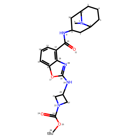 CN1C2CCCC1CC(NC(=O)c1cccc3oc(NC4CN(C(=O)OC(C)(C)C)C4)nc13)C2